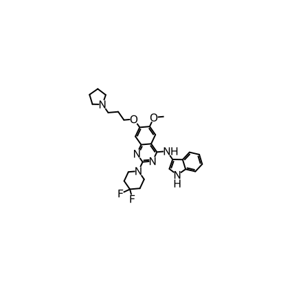 COc1cc2c(Nc3c[nH]c4ccccc34)nc(N3CCC(F)(F)CC3)nc2cc1OCCCN1CCCC1